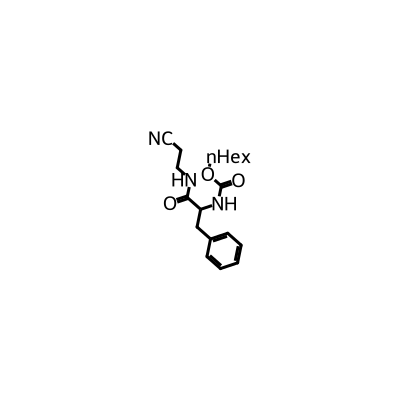 CCCCCCOC(=O)NC(Cc1ccccc1)C(=O)NCCC#N